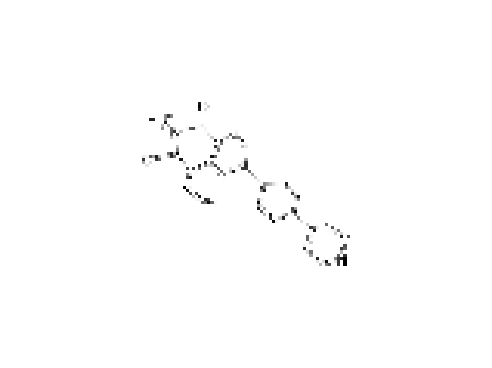 CN1C(=O)c2cccc3c(-c4ccc(-c5ccncc5)cc4)ccc(c23)C1=O